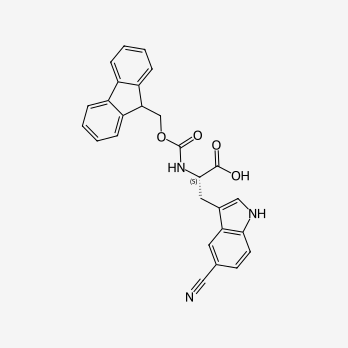 N#Cc1ccc2[nH]cc(C[C@H](NC(=O)OCC3c4ccccc4-c4ccccc43)C(=O)O)c2c1